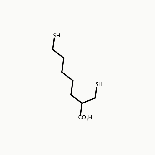 O=C(O)C(CS)CCCCCS